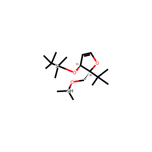 C[SiH](C)OC[C@@]1(C(C)(C)C)OC=C[C@@H]1O[Si](C)(C)C(C)(C)C